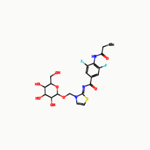 CC(C)(C)CC(=O)Nc1c(F)cc(C(=O)N=c2sccn2COC2OC(CO)C(O)C(O)C2O)cc1F